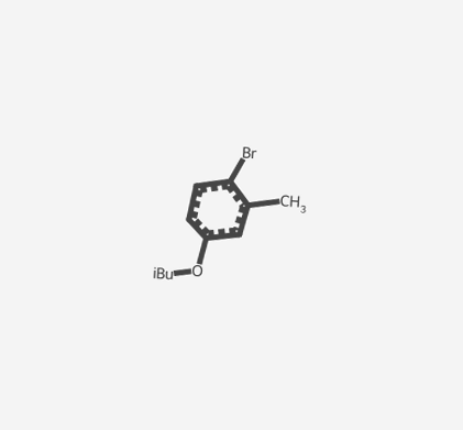 CCC(C)Oc1ccc(Br)c(C)c1